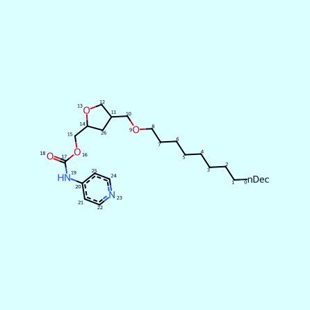 CCCCCCCCCCCCCCCCCCOCC1COC(COC(=O)Nc2ccncc2)C1